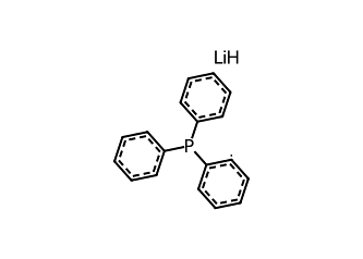 [LiH].[c]1ccccc1P(c1ccccc1)c1ccccc1